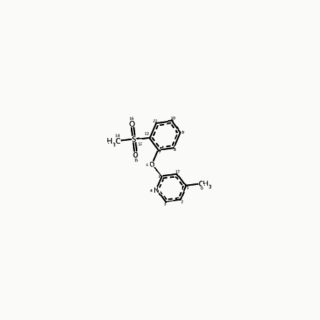 Cc1ccnc(Oc2ccccc2S(C)(=O)=O)c1